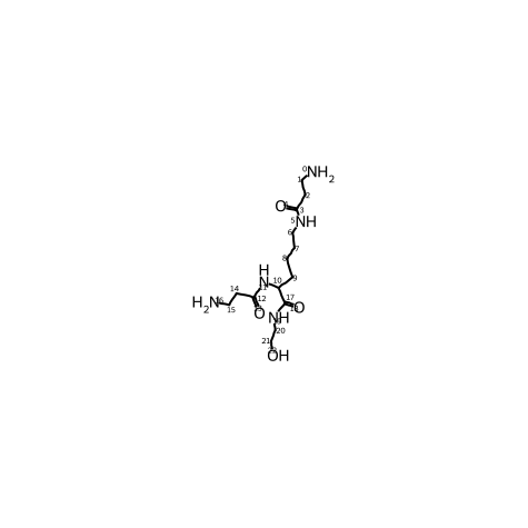 NCCC(=O)NCCCCC(NC(=O)CCN)C(=O)NCCO